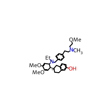 CCN(Cc1ccc(CCN(C)CCOC)cc1)C1C=C(OC)C(OC)=CC1[C@@H]1CCc2cc(O)ccc2C1